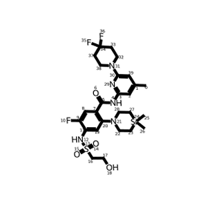 Cc1cc(NC(=O)c2cc(F)c(NS(=O)(=O)CCO)cc2N2CC[Si](C)(C)CC2)nc(N2CCC(F)(F)CC2)c1